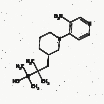 CC(C)(C[C@H]1CCCN(c2ccncc2[N+](=O)[O-])C1)[Si](C)(C)O